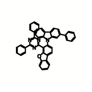 c1ccc(-c2ccc3c4ccccc4n(-c4ccc5c(oc6ccccc65)c4-c4nc(-c5ccccc5)nc(-c5ccccc5)n4)c3c2)cc1